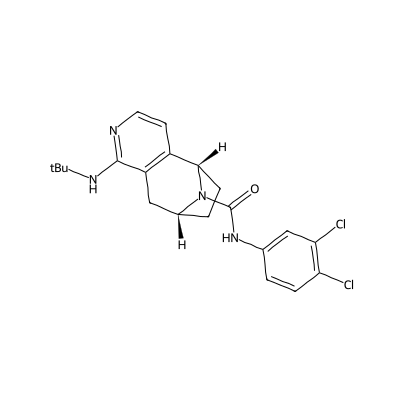 CC(C)(C)Nc1nccc2c1C[C@H]1CC[C@@H]2N1C(=O)Nc1ccc(Cl)c(Cl)c1